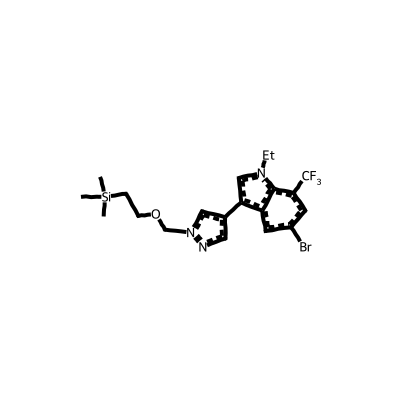 CCn1cc(-c2cnn(COCC[Si](C)(C)C)c2)c2cc(Br)cc(C(F)(F)F)c21